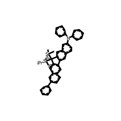 CC(C)[Si](C(C)C)(C(C)C)C1([Si](C)(C)C)c2cc3cc(-c4ccccc4)ccc3cc2-c2cc3ccc(N(c4ccccc4)c4ccccc4)cc3cc21